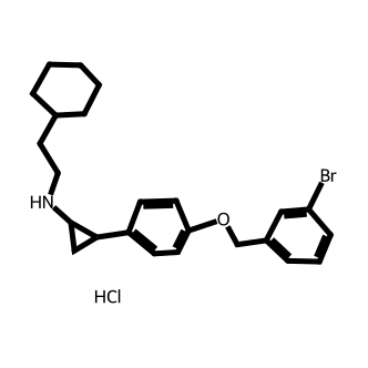 Brc1cccc(COc2ccc(C3CC3NCCC3CCCCC3)cc2)c1.Cl